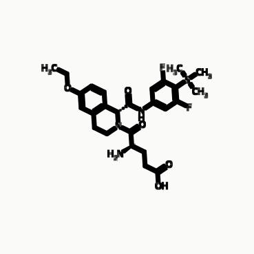 CCOc1ccc2c(c1)CCN(C(=O)[C@H](N)CCC(=O)O)[C@H]2C(=O)Nc1cc(F)c(S(C)(C)C)c(F)c1